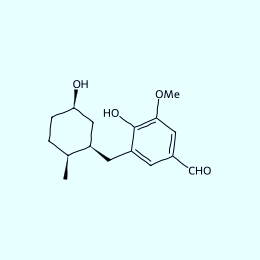 COc1cc(C=O)cc(C[C@@H]2C[C@H](O)CC[C@@H]2C)c1O